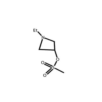 CCN1CC(OS(C)(=O)=O)C1